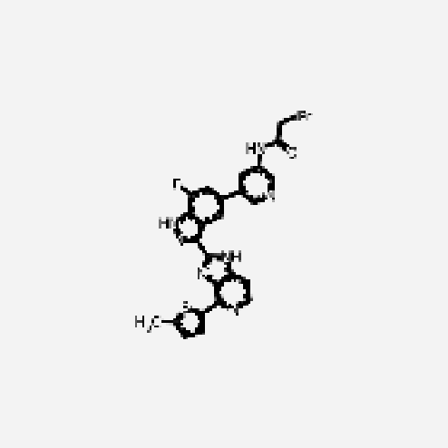 Cc1ccc(-c2nccc3[nH]c(-c4n[nH]c5c(F)cc(-c6cncc(NC(=O)CC(C)C)c6)cc45)nc23)s1